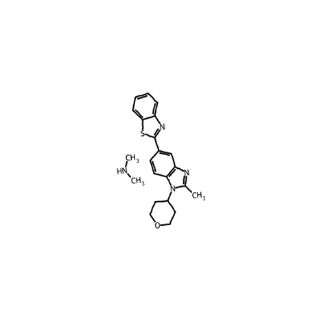 CNC.Cc1nc2cc(-c3nc4ccccc4s3)ccc2n1C1CCOCC1